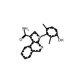 Cc1ccc(O)c(C)c1-n1cc(C(N)=O)c2c3ccccc3cnc21